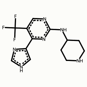 FC(F)(F)c1cnc(NC2CCNCC2)nc1-c1c[nH]cn1